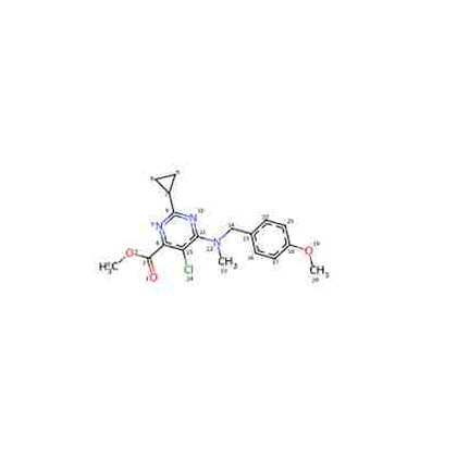 COC(=O)c1nc(C2CC2)nc(N(C)Cc2ccc(OC)cc2)c1Cl